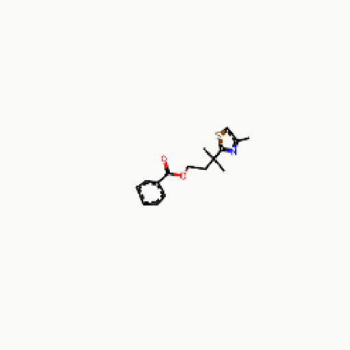 Cc1csc(C(C)(C)CCOC(=O)c2ccccc2)n1